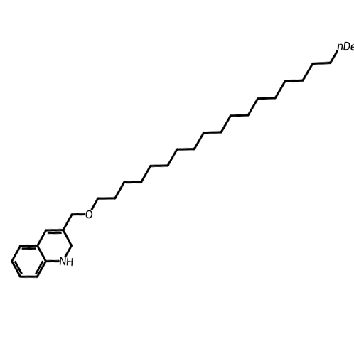 CCCCCCCCCCCCCCCCCCCCCCCCCCCCOCC1=Cc2ccccc2NC1